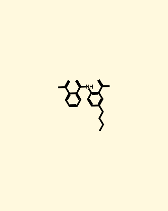 C=C(C)c1cc(CCCC)ccc1NC(=C)c1ccccc1C(=C)C